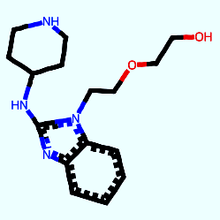 OCCOCCn1c(NC2CCNCC2)nc2ccccc21